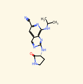 CC(C)Nc1nc(C#N)cc2cnc(N[C@@H]3CCNC3=O)nc12